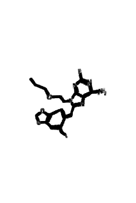 CCCOCCn1c(Cc2cc3c(cc2I)OCO3)nc2c(N)nc(F)nc21